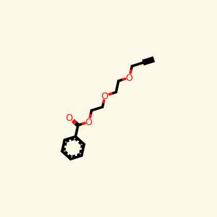 C#CCOCCOCCOC(=O)c1ccccc1